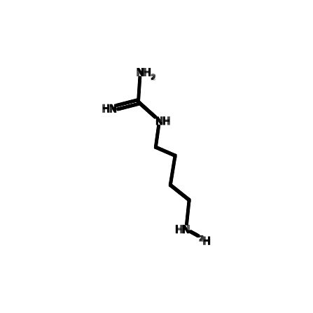 [2H]NCCCCNC(=N)N